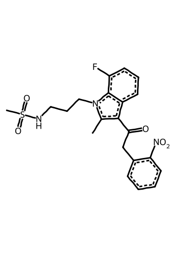 Cc1c(C(=O)Cc2ccccc2[N+](=O)[O-])c2cccc(F)c2n1CCCNS(C)(=O)=O